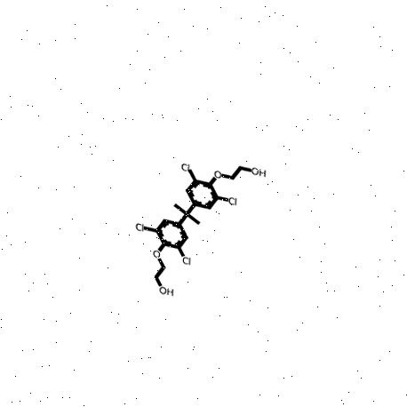 CC(C)(c1cc(Cl)c(OCCO)c(Cl)c1)c1cc(Cl)c(OCCO)c(Cl)c1